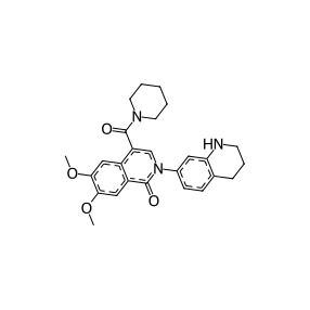 COc1cc2c(C(=O)N3CCCCC3)cn(-c3ccc4c(c3)NCCC4)c(=O)c2cc1OC